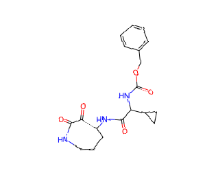 O=C(NC(C(=O)NC1CCCNC(=O)C1=O)C1CC1)OCc1ccccc1